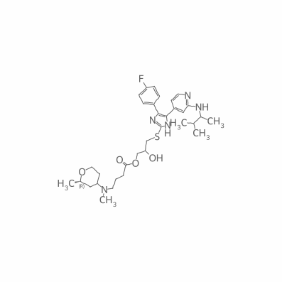 CC(C)C(C)Nc1cc(-c2[nH]c(SCC(O)COC(=O)CCCN(C)C3CCO[C@H](C)C3)nc2-c2ccc(F)cc2)ccn1